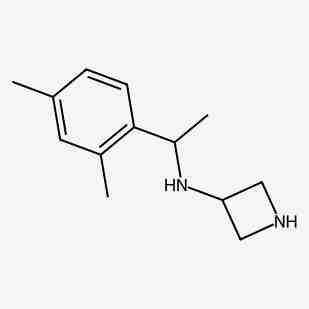 Cc1ccc(C(C)NC2CNC2)c(C)c1